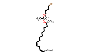 CCCCC/C=C\C/C=C\CCCCCCCC(OC)O[Si](C)(C)OCCCCBr